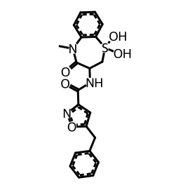 CN1C(=O)C(NC(=O)c2cc(Cc3ccccc3)on2)CS(O)(O)c2ccccc21